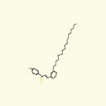 CCCCCCCCCCCCCCCCCCc1cccc(C=CC(=S)c2ccc(C)cc2)c1